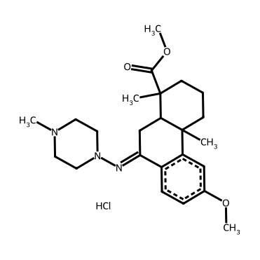 COC(=O)C1(C)CCCC2(C)c3cc(OC)ccc3C(=NN3CCN(C)CC3)CC12.Cl